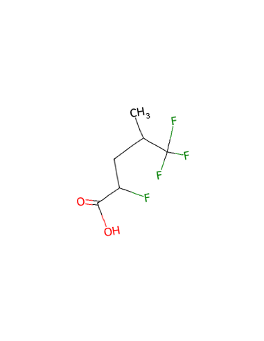 CC(CC(F)C(=O)O)C(F)(F)F